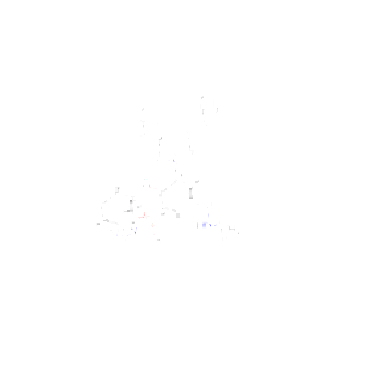 CCCCN(CCCC)c1cc(CNC)cc(S(N)(=O)=O)c1Oc1ccccc1